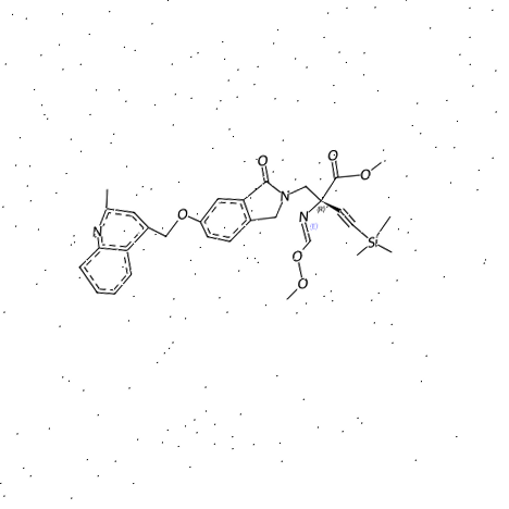 COO/C=N/[C@](C#C[Si](C)(C)C)(CN1Cc2ccc(OCc3cc(C)nc4ccccc34)cc2C1=O)C(=O)OC